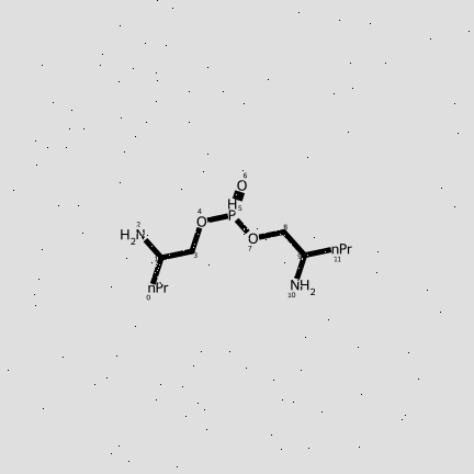 CCCC(N)CO[PH](=O)OCC(N)CCC